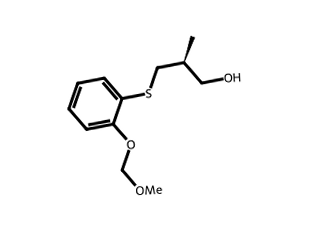 COCOc1ccccc1SC[C@@H](C)CO